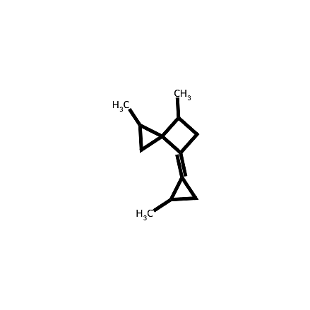 CC1CC1=C1CC(C)C12CC2C